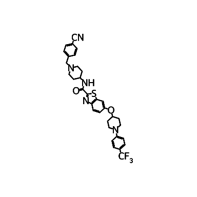 N#Cc1ccc(CN2CCC(NC(=O)c3nc4ccc(OC5CCN(c6ccc(C(F)(F)F)cc6)CC5)cc4s3)CC2)cc1